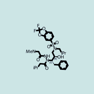 CNCC(=O)NN(C(=O)CC(C)C)[C@@H](Cc1ccccc1)[C@H](O)CN(CC(C)C)S(=O)(=O)c1ccc2c(c1)OC(F)(F)O2